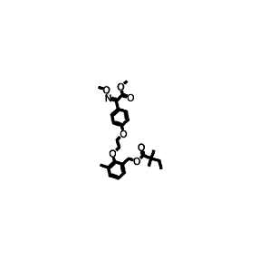 CCC(C)(C)C(=O)OCc1cccc(C)c1OCCOc1ccc(C(=NOC)C(=O)OC)cc1